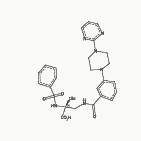 CC(C)(C)[C@](CNC(=O)c1cccc(N2CCN(c3ncccn3)CC2)c1)(NS(=O)(=O)c1ccccc1)C(=O)O